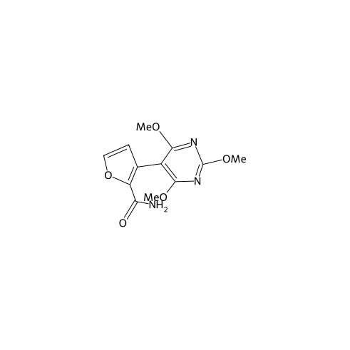 COc1nc(OC)c(-c2ccoc2C(N)=O)c(OC)n1